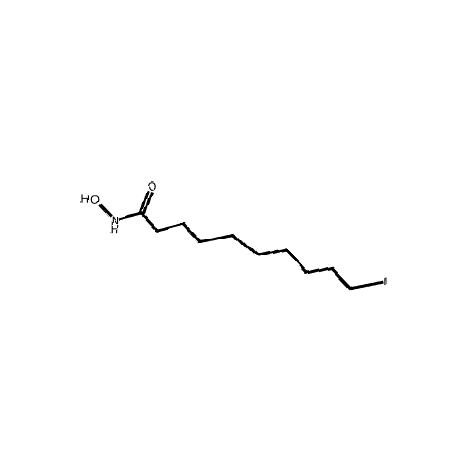 O=C(CCCCCCCCCI)NO